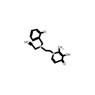 C#CCN(CCn1ccc(=O)c(O)c1C)Cc1ccccc1Cl